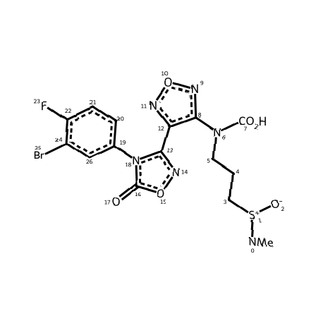 CN[S+]([O-])CCCN(C(=O)O)c1nonc1-c1noc(=O)n1-c1ccc(F)c(Br)c1